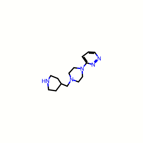 c1cnnc(N2CCN(CC3CCNCC3)CC2)c1